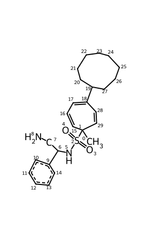 CC1(S(=O)(=O)NC(CN)c2ccccc2)C=CC=C(C2CCCCCCCC2)C=C1